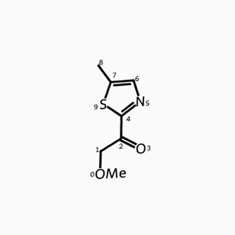 COCC(=O)c1ncc(C)s1